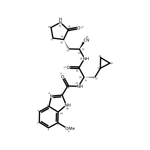 COc1cccc2nc(C(=O)N[C@@H](CC3CC3)C(=O)N[C@H](C#N)C[C@@H]3CCNC3=O)[nH]c12